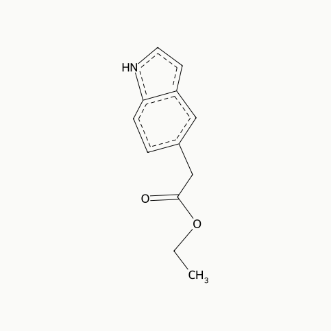 CCOC(=O)Cc1ccc2[nH]ccc2c1